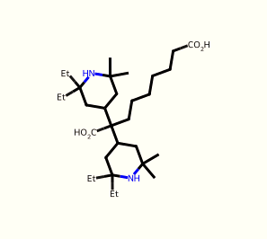 CCC1(CC)CC(C(CCCCCCC(=O)O)(C(=O)O)C2CC(C)(C)NC(CC)(CC)C2)CC(C)(C)N1